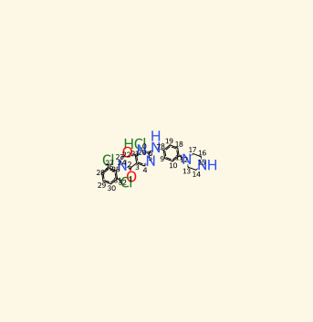 Cl.O=C1c2cnc(Nc3ccc(N4CCNCC4)cc3)nc2OCN1c1c(Cl)cccc1Cl